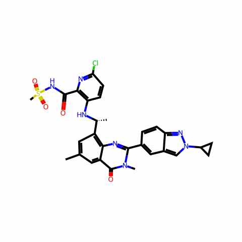 Cc1cc([C@@H](C)Nc2ccc(Cl)nc2C(=O)NS(C)(=O)=O)c2nc(-c3ccc4nn(C5CC5)cc4c3)n(C)c(=O)c2c1